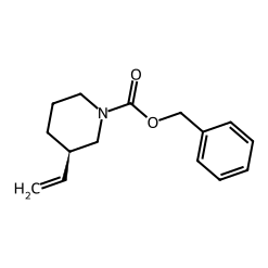 C=C[C@H]1CCCN(C(=O)OCc2ccccc2)C1